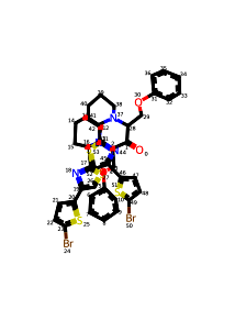 O=C(C(COc1ccccc1)N1CCCC[C@@H]1c1nc(-c2ccc(Br)s2)cs1)C(COc1ccccc1)N1CCCC[C@@H]1c1nc(-c2ccc(Br)s2)cs1